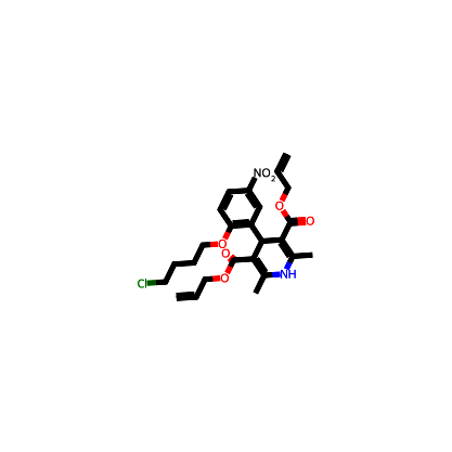 C=CCOC(=O)C1=C(C)NC(C)=C(C(=O)OCC=C)C1c1cc([N+](=O)[O-])ccc1OCCCCCl